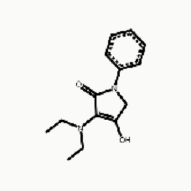 CCN(CC)C1=C(O)CN(c2ccccc2)C1=O